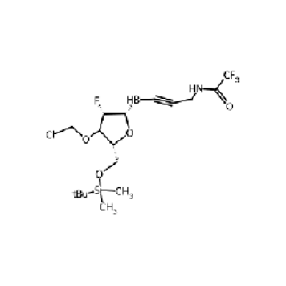 CC(C)(C)[Si](C)(C)OC[C@H]1O[C@@H](BC#CCNC(=O)C(F)(F)F)[C@@H](F)C1OCCl